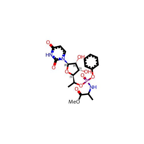 COC(=O)C(C)NP(=O)(Oc1ccccc1)OC(C)[C@H]1O[C@@H](n2ccc(=O)[nH]c2=O)[C@H](O)[C@@H]1O